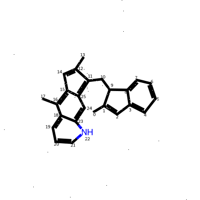 CC1=Cc2ccccc2C1Cc1c(C)cc2c(C)c3ccc[nH]c3cc12